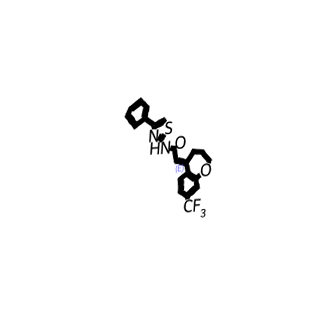 O=C(/C=C1\CCCOc2cc(C(F)(F)F)ccc21)Nc1nc(-c2ccccc2)cs1